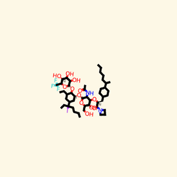 CCCCCC(C)C1CCC(C[C@H](OC2C(NC(C)=O)[C@H](O[C@@H]3CC(C(I)(CC)CCCC)CC(CC)C3O[C@@H]3OC(C(F)(F)F)[C@@H](O)C(O)C3O)OC(CO)[C@@H]2O)C(=O)N2CCC2)CC1